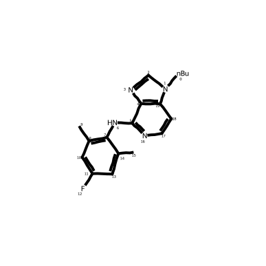 CCCCn1cnc2c(Nc3c(C)cc(F)cc3C)nccc21